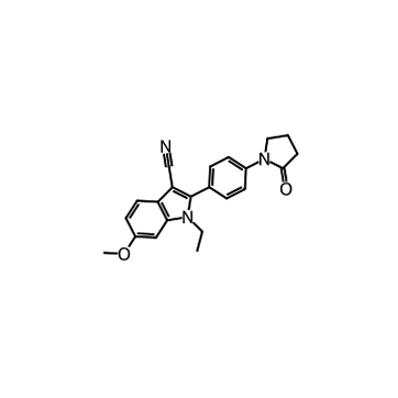 CCn1c(-c2ccc(N3CCCC3=O)cc2)c(C#N)c2ccc(OC)cc21